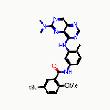 COc1ccc(C(C)(C)C)cc1C(=O)Nc1ccc(C)c(Nc2ncnc3cnc(N(C)C)nc23)c1